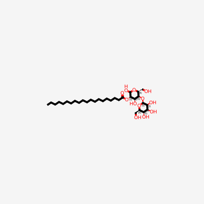 CCCCCCCCCCCCCCCCCCCC(=O)O[C@@H]1C(O)O[C@H](CO)[C@@H](O[C@@H]2O[C@H](CO)[C@@H](O)[C@H](O)[C@@H]2O)[C@@H]1O